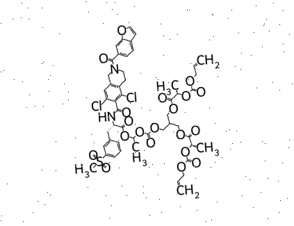 C=CCOC(=O)O[C@H](C)C(=O)OCC(COC(=O)OC(C)OC(=O)[C@H](Cc1cccc(S(C)(=O)=O)c1)NC(=O)c1c(Cl)cc2c(c1Cl)CCN(C(=O)c1ccc3ccoc3c1)C2)COC(=O)[C@@H](C)OC(=O)OCC=C